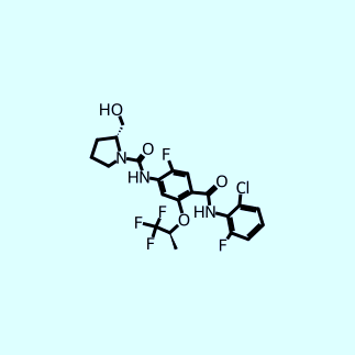 C[C@H](Oc1cc(NC(=O)N2CCC[C@@H]2CO)c(F)cc1C(=O)Nc1c(F)cccc1Cl)C(F)(F)F